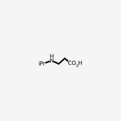 [CH2]C(C)NCCC(=O)O